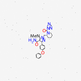 CNc1c(C(N)=O)c(-c2ccc(Oc3ccccc3)cc2)nn1C[C@@H]1CCCCN1C(=O)n1cncn1